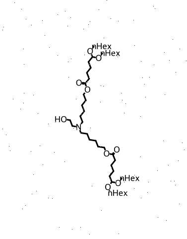 CCCCCCOC(CCCCC(=O)OCCCCCCN(CCO)CCCCCCOC(=O)CCCCC(OCCCCCC)OCCCCCC)OCCCCCC